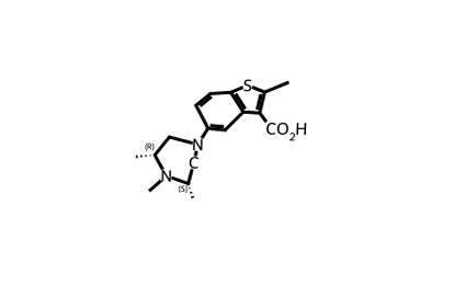 Cc1sc2ccc(N3C[C@@H](C)N(C)[C@@H](C)C3)cc2c1C(=O)O